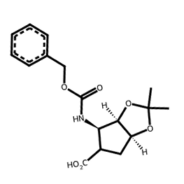 CC1(C)O[C@H]2[C@H](CC(C(=O)O)[C@H]2NC(=O)OCc2ccccc2)O1